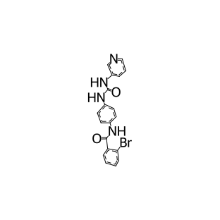 O=C(Nc1ccc(NC(=O)c2ccccc2Br)cc1)Nc1cccnc1